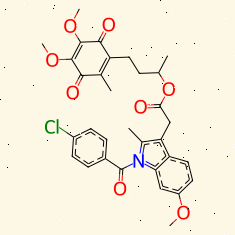 COC1=C(OC)C(=O)C(CCC(C)OC(=O)Cc2c(C)n(C(=O)c3ccc(Cl)cc3)c3cc(OC)ccc23)=C(C)C1=O